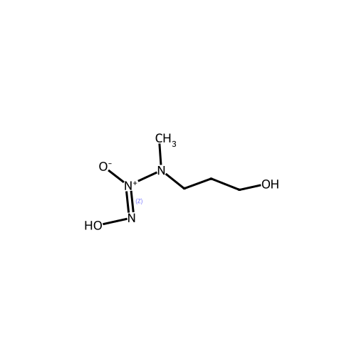 CN(CCCO)/[N+]([O-])=N/O